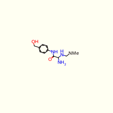 CNCNC(N)C(=O)Nc1ccc(CO)cc1